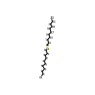 ICCCCCCCCCCSCCCCCCCCCCI